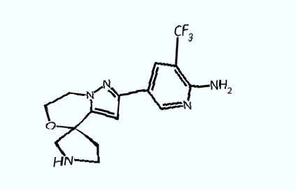 Nc1ncc(-c2cc3n(n2)CCO[C@]32CCNC2)cc1C(F)(F)F